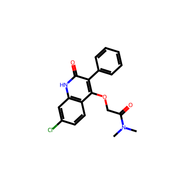 CN(C)C(=O)COc1c(-c2ccccc2)c(=O)[nH]c2cc(Cl)ccc12